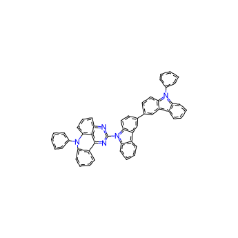 c1ccc(N2c3ccccc3-c3nc(-n4c5ccccc5c5cc(-c6ccc7c(c6)c6ccccc6n7-c6ccccc6)ccc54)nc4cccc2c34)cc1